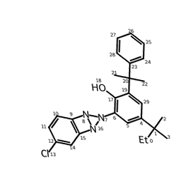 CCC(C)(C)c1cc(-n2n3c4ccc(Cl)cc4n23)c(O)c(C(C)(C)c2ccccc2)c1